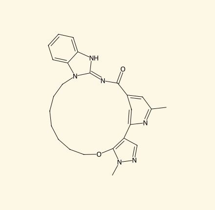 Cc1cc2cc(n1)-c1cnn(C)c1OCCCCCCCN1/C(=N/C2=O)Nc2ccccc21